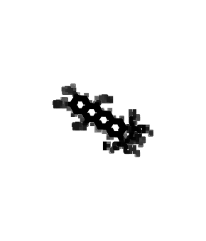 CC(C)(C)c1cc2c(C(C)(C)C)c3cc4cc([Si](C)(C)C)c([Si](C)(C)C)cc4cc3c(C(C)(C)C)c2cc1C(C)(C)C